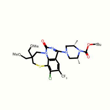 COCC1(COC)CSc2c(Cl)c(C(F)(F)F)cc3c(N4C[C@@H](C)N(C(=O)OC(C)(C)C)[C@@H](C)C4)nc(=O)n(c23)C1